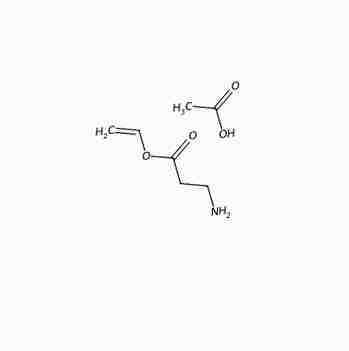 C=COC(=O)CCN.CC(=O)O